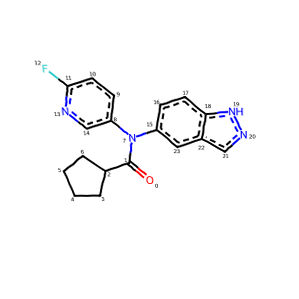 O=C(C1CCCC1)N(c1ccc(F)nc1)c1ccc2[nH]ncc2c1